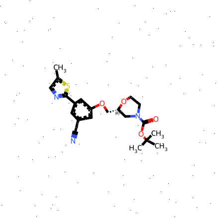 Cc1cnc(-c2cc(C#N)cc(OC[C@H]3CN(C(=O)OC(C)(C)C)CCO3)c2)s1